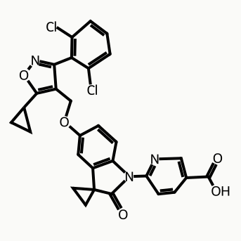 O=C(O)c1ccc(N2C(=O)C3(CC3)c3cc(OCc4c(-c5c(Cl)cccc5Cl)noc4C4CC4)ccc32)nc1